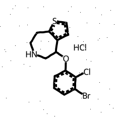 Cl.Clc1c(Br)cccc1OC1CNCCc2sccc21